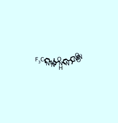 CC1=C(c2ccc(NC(=O)c3cnn(-c4ccc(C(F)(F)F)cn4)c3C)cn2)CCN(S(=O)(=O)N(C)C)C1